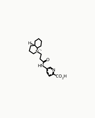 C[C@@]12CCCC[C@H]1CCCN2CCC(=O)Nc1ccc(C(=O)O)nc1